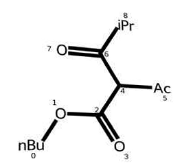 CCCCOC(=O)C(C(C)=O)C(=O)C(C)C